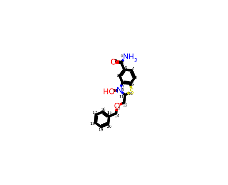 NC(=O)c1ccc2c(c1)N(O)C(COCc1ccccc1)S2